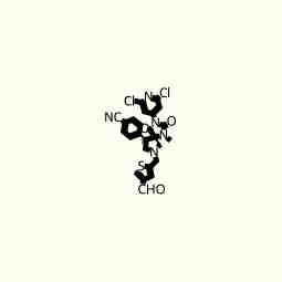 CN1C(=O)N(c2cc(Cl)nc(Cl)c2)C(=O)[C@]12CN(Cc1cc(C=O)cs1)C[C@H]2c1ccc(C#N)cc1